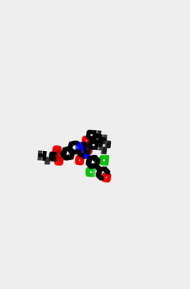 CC(C)(C)OC(=O)N1CCc2cc(S(C)(=O)=O)ccc2C1C(=O)Nc1cc(Cl)c(C2=CCOCC2)c(Cl)c1